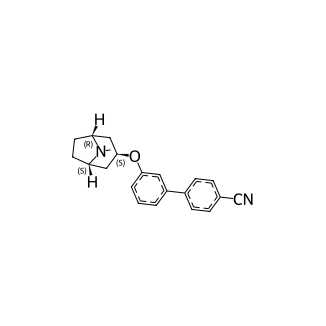 CN1[C@@H]2CC[C@H]1C[C@H](Oc1cccc(-c3ccc(C#N)cc3)c1)C2